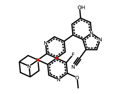 COc1ncc(CN2C3CC2CN(c2ccc(-c4cc(O)cn5ncc(C#N)c45)cn2)C3)cc1F